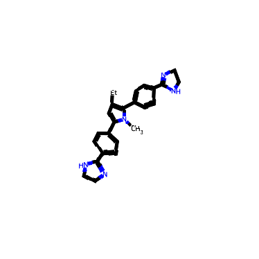 CCc1cc(-c2ccc(C3=NCCN3)cc2)n(C)c1-c1ccc(C2=NCCN2)cc1